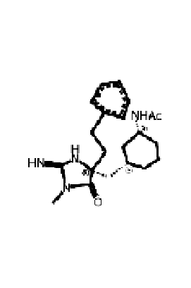 CC(=O)N[C@@H]1CCC[C@H](C[C@@]2(CCc3ccccc3)NC(=N)N(C)C2=O)C1